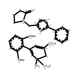 COc1cccc(OC)c1C1=CC(C)(C(=O)O)CC(C(=O)O)=C1.O=C1CCCN1Cc1csc(-c2ccccc2)n1